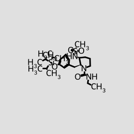 CCNC(=O)N1CCC[C@H](NS(C)(=O)=O)[C@@H]1Cc1cccc(O[Si](C(C)C)(C(C)C)C(C)C)c1